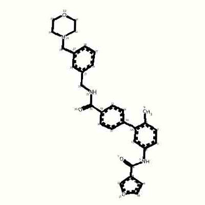 Cc1ccc(NC(=O)c2ccoc2)cc1-c1ccc(C(=O)NCc2cccc(CN3CCOCC3)c2)cc1